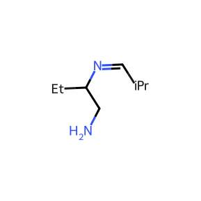 CCC(CN)/N=C\C(C)C